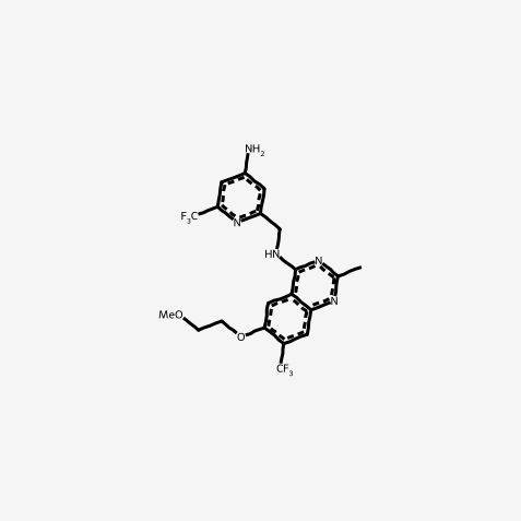 COCCOc1cc2c(NCc3cc(N)cc(C(F)(F)F)n3)nc(C)nc2cc1C(F)(F)F